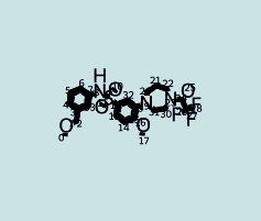 COCc1cccc(NS(=O)(=O)c2ccc(OC)c(N3CCCN(C(=O)C(F)(F)F)CC3)c2)c1